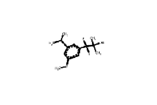 COc1cc(C(C)N)cc(C(F)(F)C(C)(C)O)c1